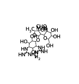 CNC1C(O)C(O)C(CO)OC1C1C(OC2C(O)C(O)C(NC(=N)N)C(O)C2NC(=N)N)OC(C)C1(O)C=O